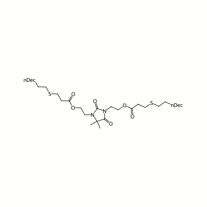 CCCCCCCCCCCCSCCC(=O)OCCN1C(=O)N(CCOC(=O)CCSCCCCCCCCCCCC)C(C)(C)C1=O